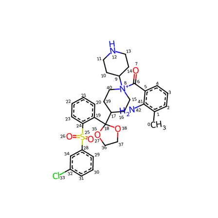 Cc1cccc(C(=O)[N+]2(C3CCNCC3)CCC(C3(c4ccccc4S(=O)(=O)c4cccc(Cl)c4)OCCO3)CC2)c1N